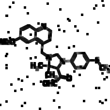 COc1ccc2nccc(CN3CN(c4ccc(SC(F)(F)F)cc4)C(C(=O)C=O)C3(C)C)c2c1